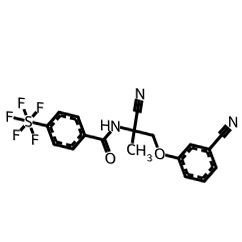 CC(C#N)(COc1cccc(C#N)c1)NC(=O)c1ccc(S(F)(F)(F)(F)F)cc1